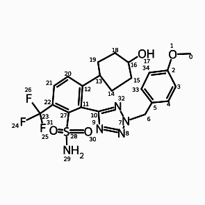 COc1ccc(Cn2nnc(-c3c(C4CCC(O)CC4)ccc(C(F)(F)F)c3S(N)(=O)=O)n2)cc1